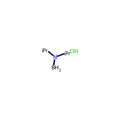 BN(C(C)C)C(C)C.Cl